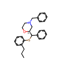 CCCc1ccccc1SC(c1ccccc1)[C@@H]1CN(Cc2ccccc2)CCO1